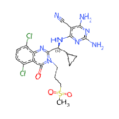 CS(=O)(=O)CCCn1c([C@@H](Nc2nc(N)nc(N)c2C#N)C2CC2)nc2c(Cl)ccc(Cl)c2c1=O